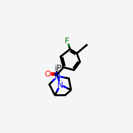 Cc1ccc(C(=O)N2C3CC2CN(C(C)C)C3)cc1F